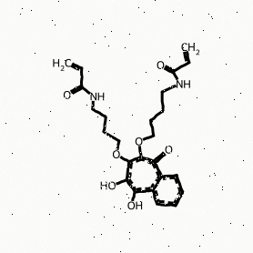 C=CC(=O)NCCCCOc1c(O)c(O)c2ccccc2c(=O)c1OCCCCNC(=O)C=C